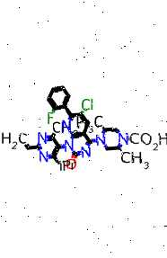 C=Cc1nc(C)c(-n2c(=O)nc(N3C[C@@H](C)N(C(=O)O)C[C@@H]3C)c3cc(Cl)c(-c4ccccc4F)nc32)c(C(C)C)n1